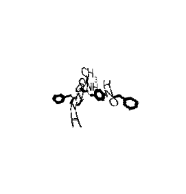 CCC(=O)N[C@H](Cc1ccc(NC(=O)CC2CCCCC2)cc1)C(=O)N1CCNC[C@H]1Cc1ccccc1